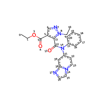 CCOC(=O)c1cnn(CC)c1C(=O)N(c1ccccc1)c1ccn2ccnc2c1